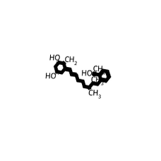 C=C1C(=CC=CCCCC(C)CCc2ccccc2C(C)(C)O)C[C@@H](O)C[C@@H]1O